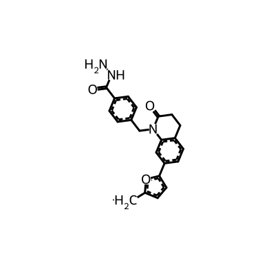 [CH2]c1ccc(-c2ccc3c(c2)N(Cc2ccc(C(=O)NN)cc2)C(=O)CC3)o1